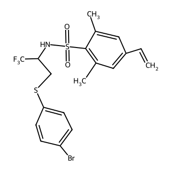 C=Cc1cc(C)c(S(=O)(=O)NC(CSc2ccc(Br)cc2)C(F)(F)F)c(C)c1